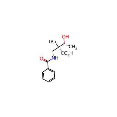 C[C@@H](O)[C@](CNC(=O)c1ccccc1)(C(=O)O)C(C)(C)C